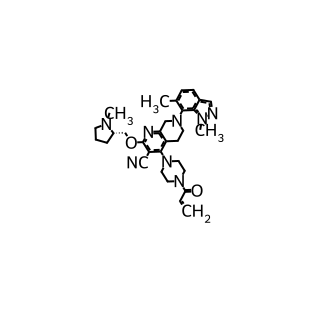 C=CC(=O)N1CCN(c2c(C#N)c(OC[C@@H]3CCCN3C)nc3c2CCN(c2c(C)ccc4cnn(C)c24)C3)CC1